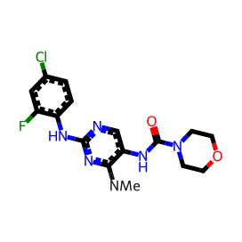 CNc1nc(Nc2ccc(Cl)cc2F)ncc1NC(=O)N1CCOCC1